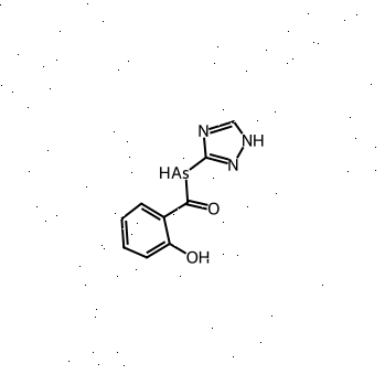 O=C([AsH]c1nc[nH]n1)c1ccccc1O